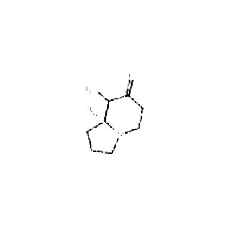 CC1C(=O)CCN2CCC[C@@H]12